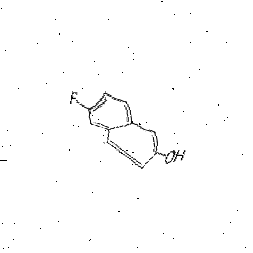 Oc1c[c]c2cc(F)ccc2c1